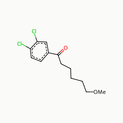 COCCCCCC(=O)c1ccc(Cl)c(Cl)c1